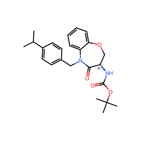 CC(C)c1ccc(CN2C(=O)[C@H](NC(=O)OC(C)(C)C)COc3ccccc32)cc1